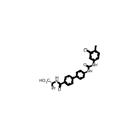 Cc1ccc(NC(=O)Nc2ccc(-c3ccc(C(=O)N[C@@H](C(=O)O)C(C)C)cc3)cc2)cc1Cl